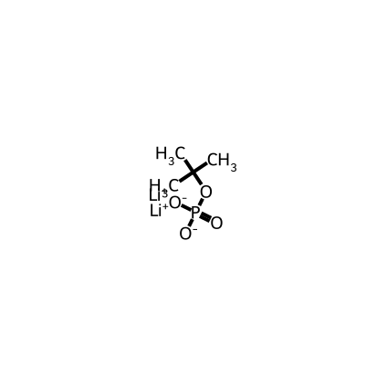 CC(C)(C)OP(=O)([O-])[O-].[Li+].[Li+]